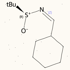 CC(C)(C)[S@+]([O-])/N=C\C1CCCCC1